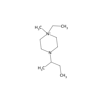 CCC(C)N1CC[N+](C)(CC)CC1